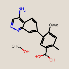 COc1cc(C)c(B(O)O)cc1-c1ccc2c(N)cnnc2c1.O=CO